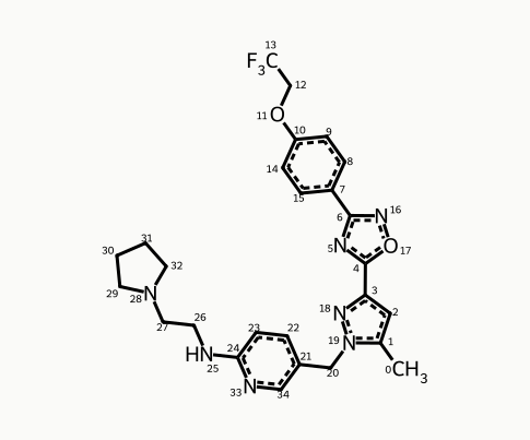 Cc1cc(-c2nc(-c3ccc(OCC(F)(F)F)cc3)no2)nn1Cc1ccc(NCCN2CCCC2)nc1